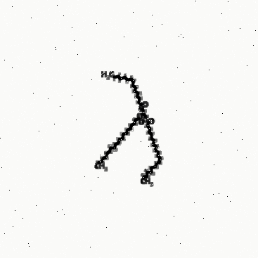 CCCCCC/C=C\CCCCCCCC(=O)OC[C@H](COC(=O)CCCCCCCCCCC/C=C\CCCCCCCC)OC(=O)CCCCCCCCCCCCCCCCCCCC